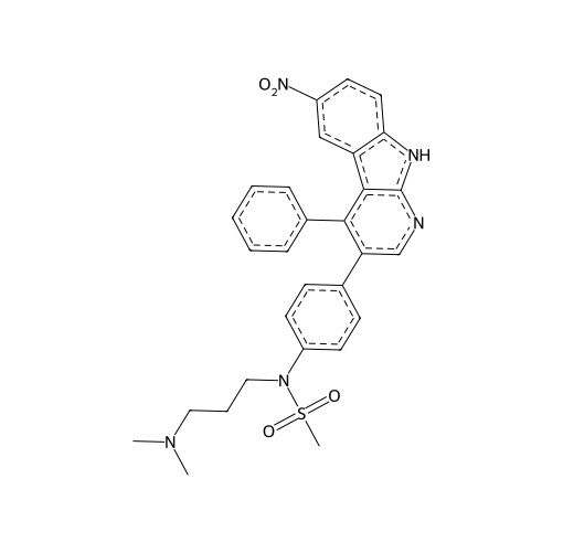 CN(C)CCCN(c1ccc(-c2cnc3[nH]c4ccc([N+](=O)[O-])cc4c3c2-c2ccccc2)cc1)S(C)(=O)=O